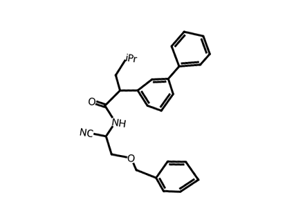 CC(C)CC(C(=O)NC(C#N)COCc1ccccc1)c1cccc(-c2ccccc2)c1